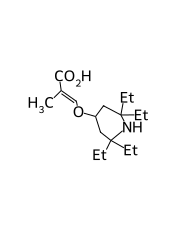 CCC1(CC)CC(OC=C(C)C(=O)O)CC(CC)(CC)N1